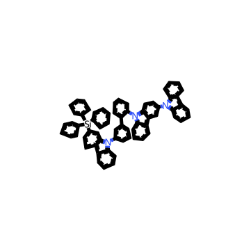 c1ccc([Si](c2ccccc2)(c2ccccc2)c2ccc3c4ccccc4n(-c4cccc(-c5ccccc5-n5c6ccccc6c6cc(-n7c8ccccc8c8ccccc87)ccc65)c4)c3c2)cc1